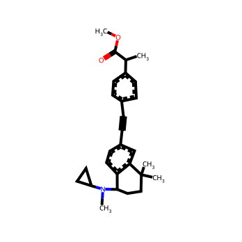 COC(=O)C(C)c1ccc(C#Cc2ccc3c(c2)C(C)(C)CCC3N(C)C2CC2)cc1